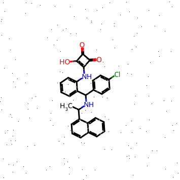 CC(NC(c1ccc(Cl)cc1)c1ccccc1Nc1c(O)c(=O)c1=O)c1cccc2ccccc12